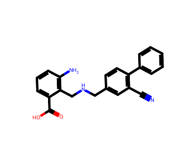 N#Cc1cc(CNCc2c(N)cccc2C(=O)O)ccc1-c1ccccc1